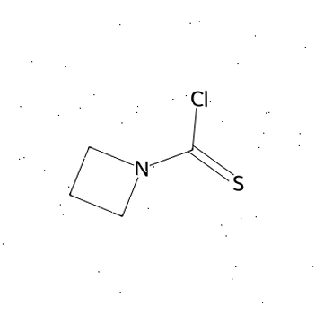 S=C(Cl)N1CCC1